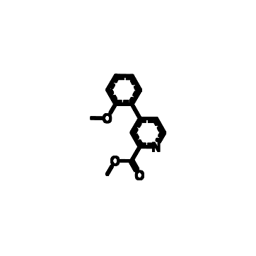 COC(=O)c1cc(-c2ccccc2OC)ccn1